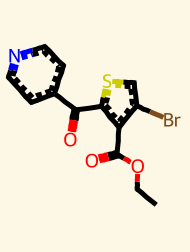 CCOC(=O)c1c(Br)csc1C(=O)c1ccncc1